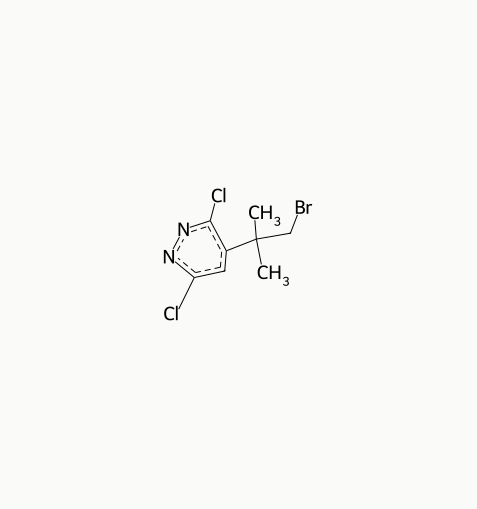 CC(C)(CBr)c1cc(Cl)nnc1Cl